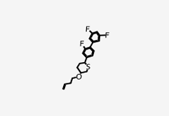 C=CCCOC1CCC(c2ccc(-c3cc(F)cc(F)c3)c(F)c2)SC1